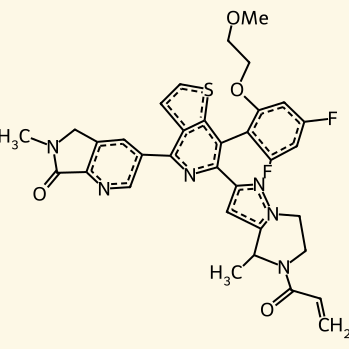 C=CC(=O)N1CCn2nc(-c3nc(-c4cnc5c(c4)CN(C)C5=O)c4ccsc4c3-c3c(F)cc(F)cc3OCCOC)cc2C1C